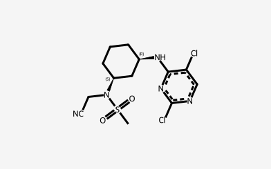 CS(=O)(=O)N(CC#N)[C@H]1CCC[C@@H](Nc2nc(Cl)ncc2Cl)C1